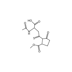 COC(=O)C1CCC(=O)C1C(=S)CC(NC(C)=O)C(=O)O